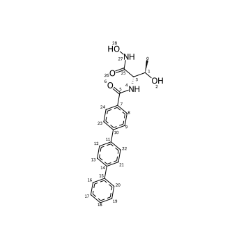 C[C@@H](O)[C@H](NC(=O)c1ccc(-c2ccc(-c3ccccc3)cc2)cc1)C(=O)NO